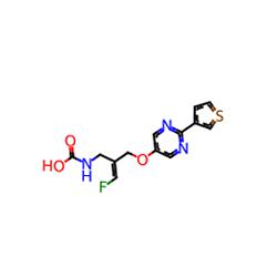 O=C(O)NCC(=CF)COc1cnc(-c2ccsc2)nc1